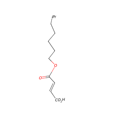 CC(C)CCCCCOC(=O)/C=C/C(=O)O